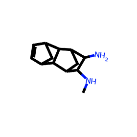 CNC1C(N)C2CC1C1C3C=CC(C3)C21